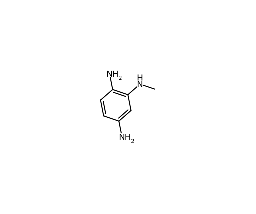 CNc1cc(N)ccc1N